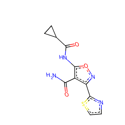 NC(=O)c1c(-c2nccs2)noc1NC(=O)C1CC1